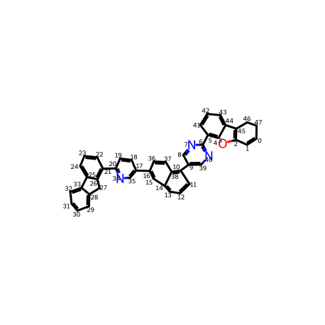 C1=Cc2oc3c(-c4ncc(-c5cccc6cc(-c7ccc(-c8cccc9c8Cc8ccccc8-9)nc7)ccc56)cn4)cccc3c2CC1